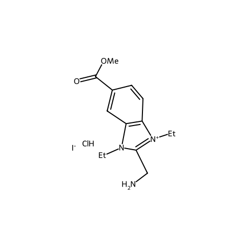 CCn1c(CN)[n+](CC)c2ccc(C(=O)OC)cc21.Cl.[I-]